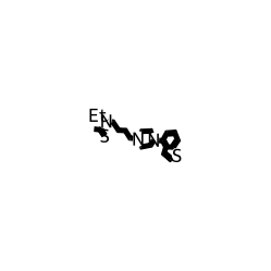 CCN(CCCCN1CCN(c2cccc3sccc23)CC1)C(C)=S